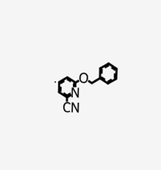 N#Cc1c[c]cc(OCc2ccccc2)n1